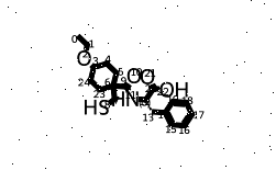 CCOC1CCC(CS)(C(=O)N[C@@H](Cc2ccccc2)C(=O)O)CC1